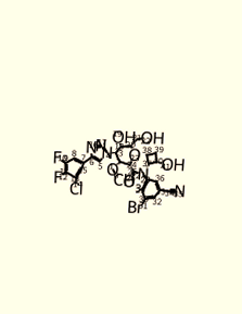 CO[C@@H]1[C@@H](n2cc(-c3cc(F)c(F)c(Cl)c3)nn2)[C@@H](O)[C@@H](CO)O[C@H]1C(=O)N(c1cc(Br)cc(C#N)c1)[C@@H]1CC[C@H]1O